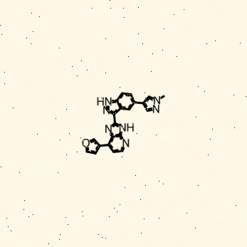 Cn1cc(-c2ccc3[nH]nc(-c4nc5c(-c6ccoc6)ccnc5[nH]4)c3c2)cn1